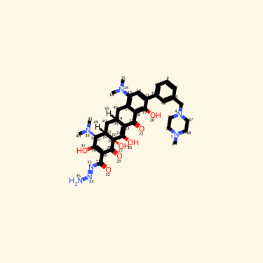 CN1CCN(Cc2cccc(-c3cc(N(C)C)c4c(c3O)C(=O)C3=C(O)[C@]5(O)C(=O)C(C(=O)N=NN)=C(O)[C@@H](N(C)C)[C@@H]5C[C@@H]3C4)c2)CC1